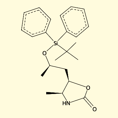 C[C@H](C[C@H]1OC(=O)N[C@H]1C)O[Si](c1ccccc1)(c1ccccc1)C(C)(C)C